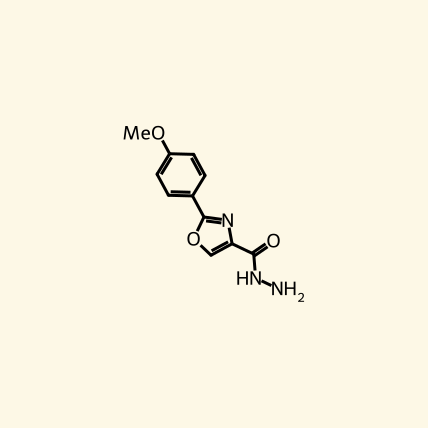 COc1ccc(-c2nc(C(=O)NN)co2)cc1